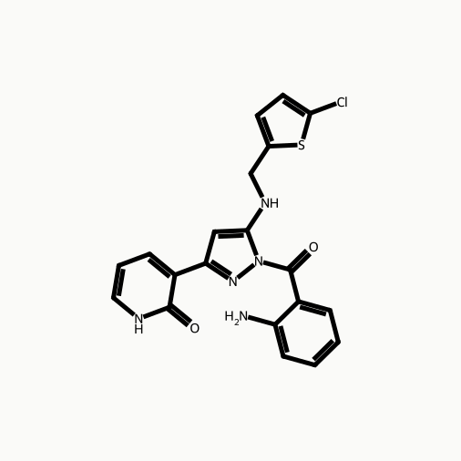 Nc1ccccc1C(=O)n1nc(-c2ccc[nH]c2=O)cc1NCc1ccc(Cl)s1